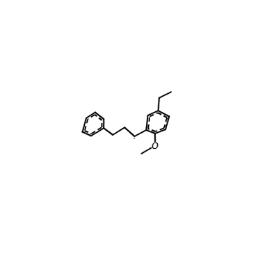 CCc1ccc(OC)c([CH]CCc2ccccc2)c1